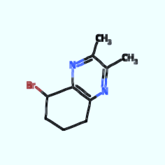 Cc1nc2c(nc1C)C(Br)CCC2